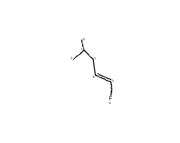 C[C](C)CC=CF